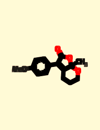 COc1ccc(C2=C3CCCO[C@@]3(C)OC2=O)cc1